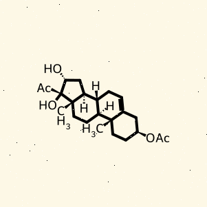 CC(=O)O[C@H]1CC[C@@]2(C)C(=CC[C@@H]3[C@@H]2CC[C@@]2(C)[C@H]3C[C@@H](O)[C@]2(O)C(C)=O)C1